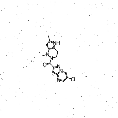 Cc1cc2c([nH]1)CCN(C(=O)c1cc3ncc(Cl)cn3n1)N2C